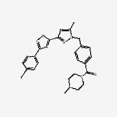 Cc1ccc(-c2noc(-c3nc(C)n(Cc4ccc(C(=O)N5CCN(C)CC5)cc4)n3)n2)cc1